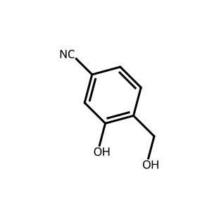 N#Cc1ccc(CO)c(O)c1